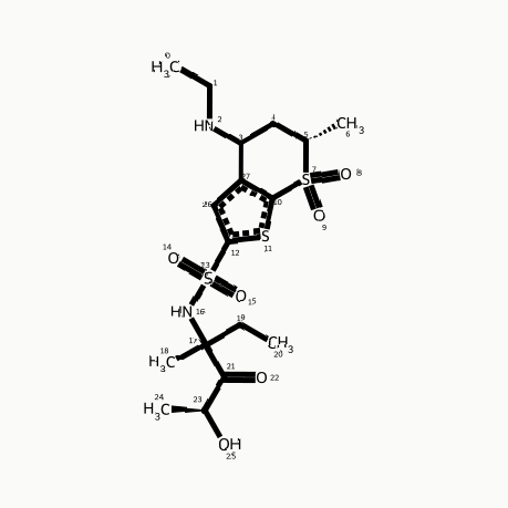 CCNC1C[C@H](C)S(=O)(=O)c2sc(S(=O)(=O)NC(C)(CC)C(=O)[C@H](C)O)cc21